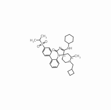 CC(C)S(=O)(=O)c1ccc(-c2ccccc2N2C(=O)N=C(NC3CCCCC3)[C@@]23CCN(CC2CCC2)[C@H](C)C3)cc1